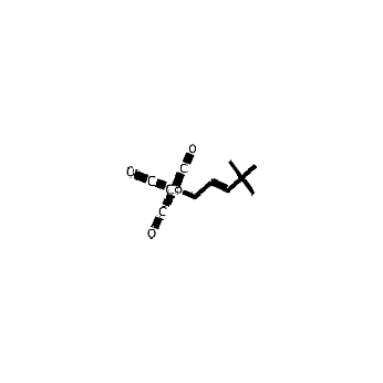 CC(C)(C)C=C[CH2][Co](=[C]=O)(=[C]=O)=[C]=O